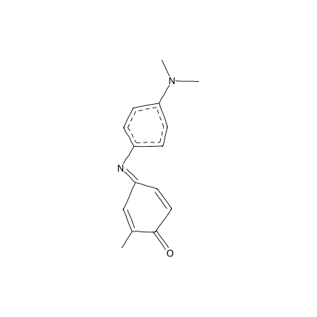 CC1=CC(=Nc2ccc(N(C)C)cc2)C=CC1=O